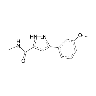 CNC(=O)c1cc(-c2cccc(OC)c2)n[nH]1